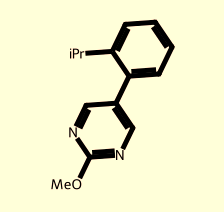 COc1ncc(-c2ccccc2C(C)C)cn1